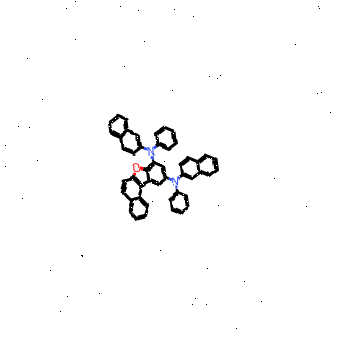 c1ccc(N(c2ccc3ccccc3c2)c2cc(N(c3ccccc3)c3ccc4ccccc4c3)c3oc4ccc5ccccc5c4c3c2)cc1